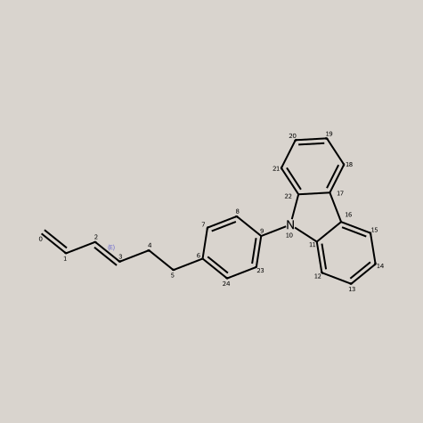 C=C/C=C/CCc1ccc(-n2c3ccccc3c3ccccc32)cc1